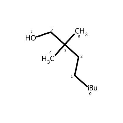 CCC(C)CCC(C)(C)CO